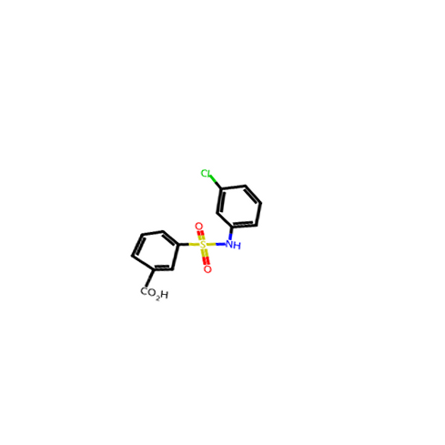 O=C(O)c1cccc(S(=O)(=O)Nc2cccc(Cl)c2)c1